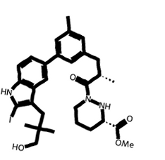 COC(=O)[C@@H]1CCCN(C(=O)[C@@H](C)Cc2cc(C)cc(-c3ccc4[nH]c(I)c(CC(C)(C)CO)c4c3)c2)N1